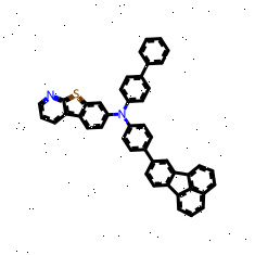 c1ccc(-c2ccc(N(c3ccc(-c4ccc5c(c4)-c4cccc6cccc-5c46)cc3)c3ccc4c(c3)sc3ncccc34)cc2)cc1